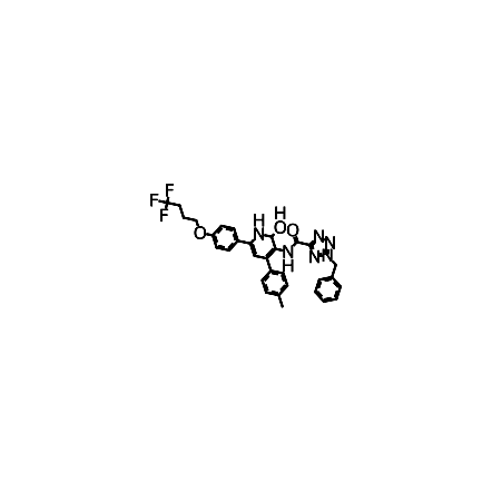 Cc1ccc(C2=C(NC(=O)c3nnn(Cc4ccccc4)n3)C(O)NC(c3ccc(OCCCC(F)(F)F)cc3)=C2)cc1